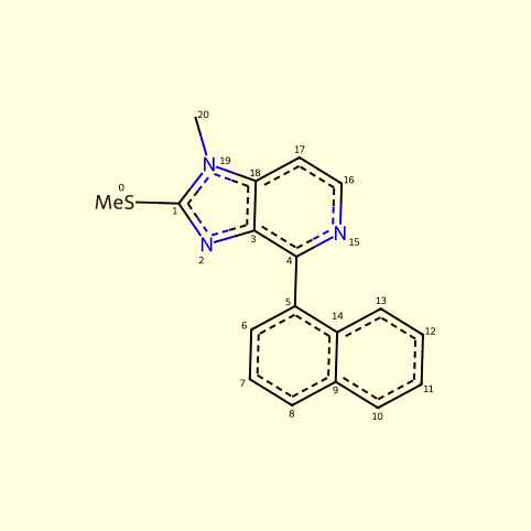 CSc1nc2c(-c3cccc4ccccc34)nccc2n1C